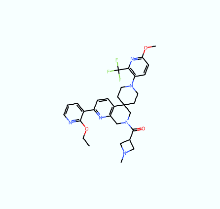 CCOc1ncccc1-c1ccc2c(n1)CN(C(=O)C1CN(C)C1)CC21CCN(c2ccc(OC)nc2C(F)(F)F)CC1